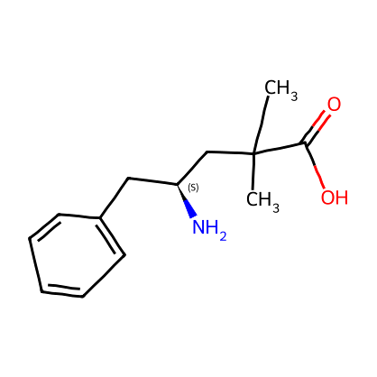 CC(C)(C[C@@H](N)Cc1ccccc1)C(=O)O